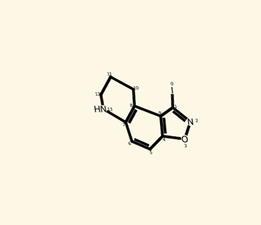 Ic1noc2ccc3c(c12)CCCN3